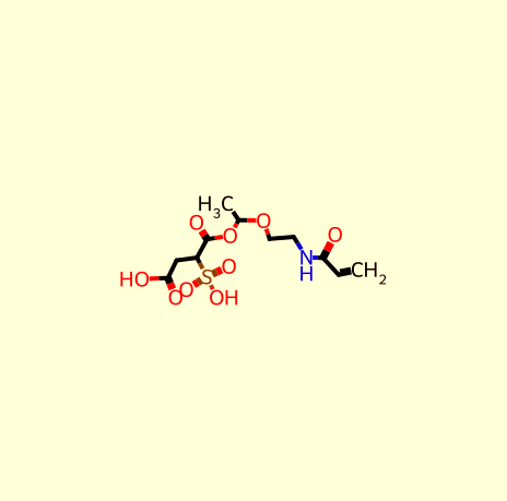 C=CC(=O)NCCOC(C)OC(=O)C(CC(=O)O)S(=O)(=O)O